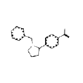 O=C(Cl)c1ccc(C2CCCN2Cc2ccccc2)cc1